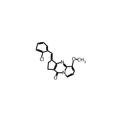 COc1cccn2c(=O)c3c(nc12)C(=Cc1ccccc1Cl)CC3